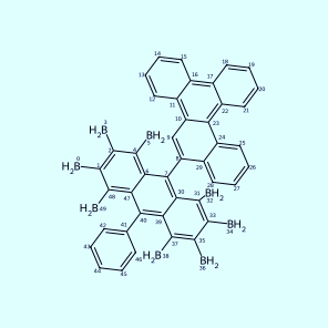 Bc1c(B)c(B)c2c(-c3cc4c5ccccc5c5ccccc5c4c4ccccc34)c3c(B)c(B)c(B)c(B)c3c(-c3ccccc3)c2c1B